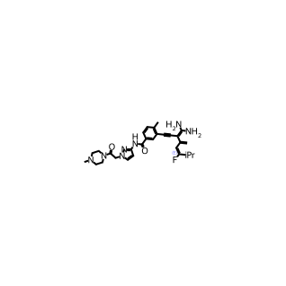 C=C(/C=C(/F)C(C)C)C(C#Cc1cc(C(=O)Nc2ccn(CC(=O)N3CCN(C)CC3)n2)ccc1C)=C(N)N